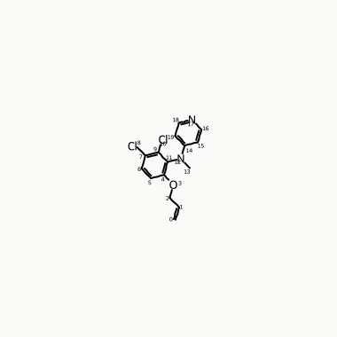 C=CCOc1ccc(Cl)c(Cl)c1N(C)c1ccncc1